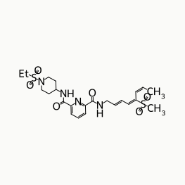 C\C=C/C(=C\C=C\CNC(=O)c1cccc(C(=O)NC2CCN(S(=O)(=O)CC)CC2)n1)S(C)(=O)=O